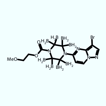 BC1(B)N(C(=O)OCCOC)C(B)(B)C(B)(B)N(c2ccn3ncc(Br)c3n2)C1(B)B